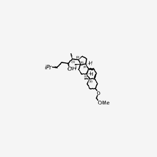 COCOC1CC[C@@]2(C)C(=CC=C3[C@@H]4CC[C@H]([C@H](C)C(O)CCC(C)C)[C@@]4(C)CC[C@@H]32)C1